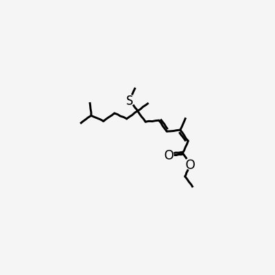 CCOC(=O)C=C(C)C=CCC(C)(CCCC(C)C)SC